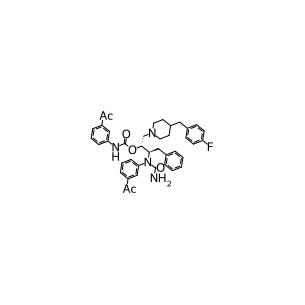 CC(=O)c1cccc(NC(=O)O[C@H](CN2CCC(Cc3ccc(F)cc3)CC2)[C@@H](Cc2ccccc2)N(C(N)=O)c2cccc(C(C)=O)c2)c1